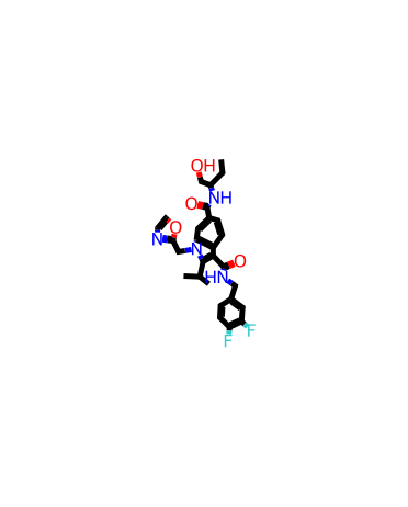 CCC(CO)NC(=O)c1ccc2c(C(=O)NCc3ccc(F)c(F)c3)c(C(C)C)n(Cc3ncco3)c2c1